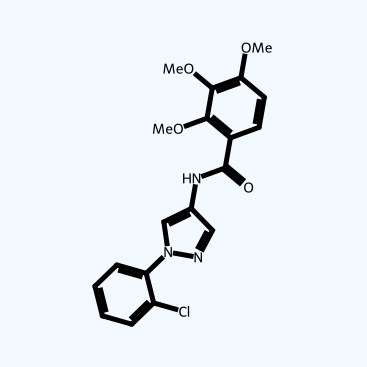 COc1ccc(C(=O)Nc2cnn(-c3ccccc3Cl)c2)c(OC)c1OC